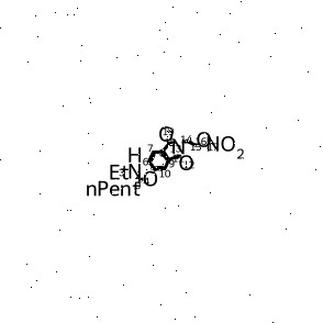 CCCCCC(NCC)Oc1ccc2c(c1)C(=O)N(CCO[N+](=O)[O-])C2=O